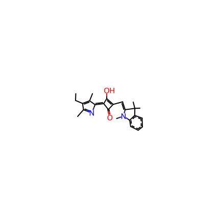 CCC1=C(C)/C(=C2/C(=O)C(/C=C3\N(C)c4ccccc4C3(C)C)=C2O)N=C1C